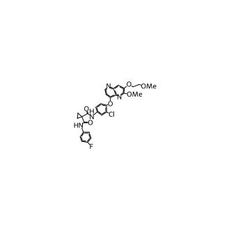 COCCOc1cc2nccc(Oc3ccc(NC(=O)C4(C(=O)Nc5ccc(F)cc5)CC4)cc3Cl)c2nc1OC